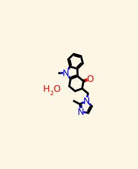 Cc1nccn1CC1CCc2c(c3ccccc3n2C)C1=O.O